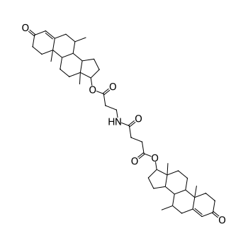 CC1CC2=CC(=O)CCC2(C)C2CCC3(C)C(OC(=O)CCNC(=O)CCC(=O)OC4CCC5C6C(C)CC7=CC(=O)CCC7(C)C6CCC45C)CCC3C12